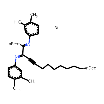 CCCCCCCCCCCCCCCCCC#CC(=N\c1ccc(C)c(C)c1)/C(CCCCC)=N/c1ccc(C)c(C)c1.[Ni]